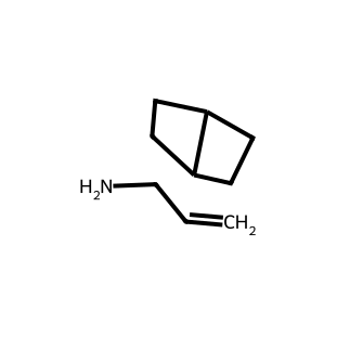 C1CC2CCC12.C=CCN